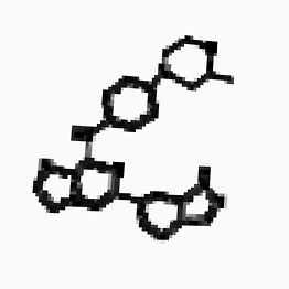 CC1CN(c2ccc(Nc3nc(-c4ccc5cn[nH]c5c4)cn4ccnc34)cc2)CCO1